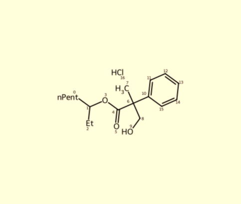 CCCCCC(CC)OC(=O)C(C)(CO)c1ccccc1.Cl